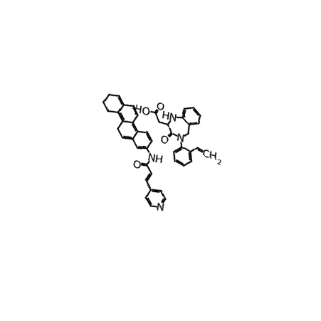 C=Cc1ccccc1N1Cc2ccccc2NC(CC(=O)O)C1=O.O=C(C=Cc1ccncc1)Nc1ccc2c(c1)=CCc1c3c(ccc1=2)=CCCC3